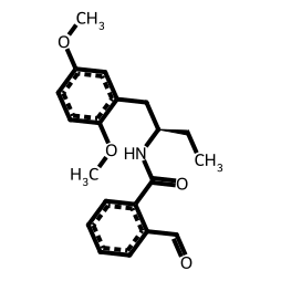 CC[C@H](Cc1cc(OC)ccc1OC)NC(=O)c1ccccc1C=O